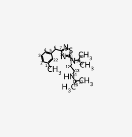 Cc1cccc(Cc2nsc(N(CCNC(C)C)C(C)C)n2)c1